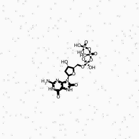 Nc1nc2c([nH]c(=O)n2[C@H]2C[C@H](O)[C@@H](COP(=O)(O)OP(=O)(O)OP(=O)(O)O)O2)c(=O)[nH]1